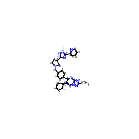 Cc1nc2nc(-c3ccc(CN4CCC(c5n[nH]c(-c6ccccn6)n5)C4)cc3)c(-c3ccccc3)cn2n1